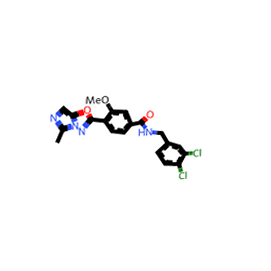 COc1cc(C(=O)NCc2ccc(Cl)c(Cl)c2)ccc1-c1nn2c(C)ncc2o1